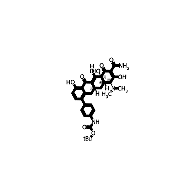 CN(C)[C@H]1C(O)=C(C(N)=O)C(=O)[C@]2(O)C(O)=C3C(=O)c4c(O)ccc(-c5ccc(NC(=O)OC(C)(C)C)cc5)c4C[C@@H]3C[C@H]12